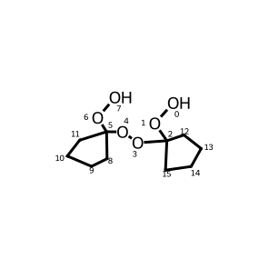 OOC1(OOC2(OO)CCCC2)CCCC1